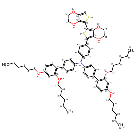 CCCCCCOc1ccc(-c2ccc(N(c3ccc(-c4ccc(OCCCCCC)cc4OCCCCCC)cc3)c3ccc(-c4sc(-c5scc6c5OCCO6)c5c4OCCO5)cc3)cc2)c(OCCCCCC)c1